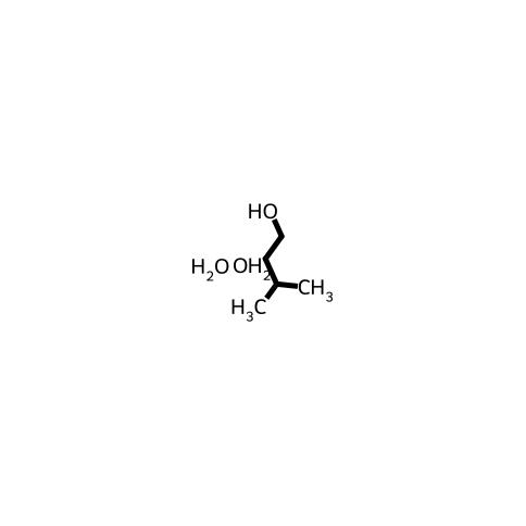 CC(C)CCO.O.O